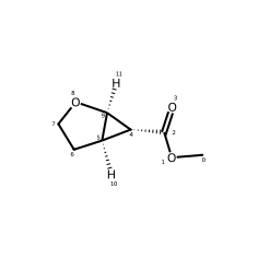 COC(=O)[C@@H]1[C@H]2CCO[C@H]21